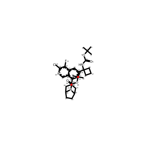 CC(C)(C)OC(=O)NC1(c2cc3c(F)c(Cl)ncc3c(N3CC4CCC(C3)N4C(=O)OC(C)(C)C)n2)CCC1